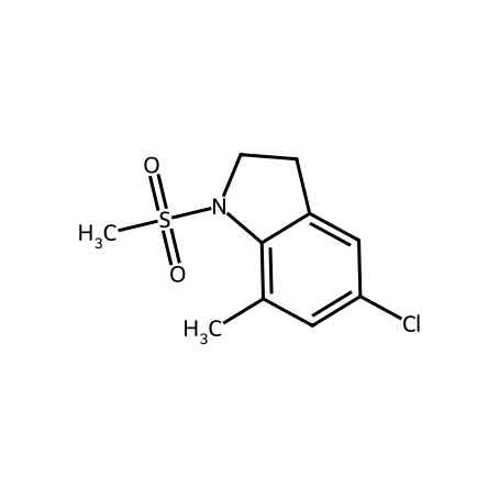 Cc1cc(Cl)cc2c1N(S(C)(=O)=O)CC2